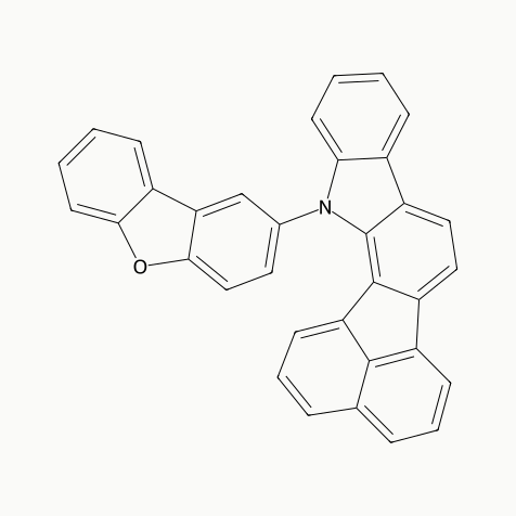 c1cc2c3c(cccc3c1)-c1c-2ccc2c3ccccc3n(-c3ccc4oc5ccccc5c4c3)c12